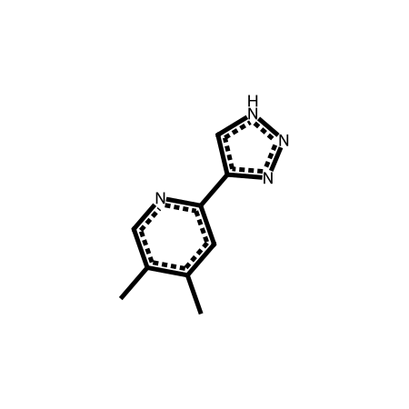 Cc1cnc(-c2c[nH]nn2)cc1C